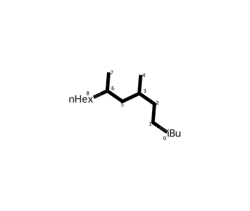 [CH2]CC(C)CCC(C)CC(C)CCCCCC